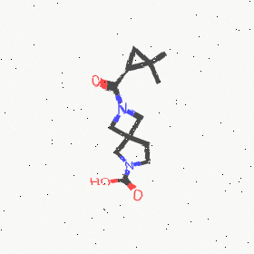 CC1(C)C[C@@H]1C(=O)N1CC2(CCN(C(=O)O)C2)C1